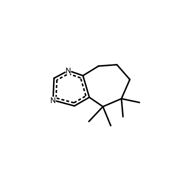 CC1(C)CCCc2ncncc2C1(C)C